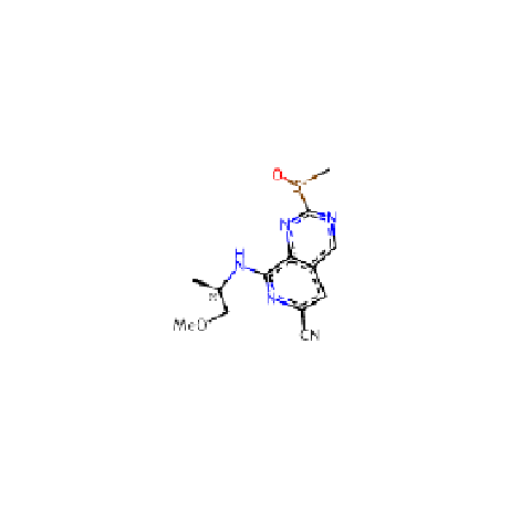 COC[C@@H](C)Nc1nc(C#N)cc2cnc([S+](C)[O-])nc12